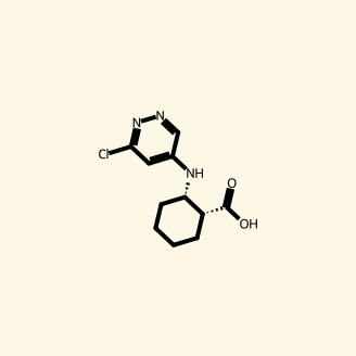 O=C(O)[C@@H]1CCCC[C@@H]1Nc1cnnc(Cl)c1